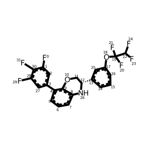 Fc1cc(-c2cccc3c2OC[C@H](c2cccc(OC(F)(F)C(F)F)c2)N3)cc(F)c1F